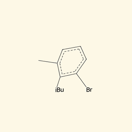 CCC(C)c1c(C)cccc1Br